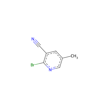 Cc1cnc(Br)c(C#N)c1